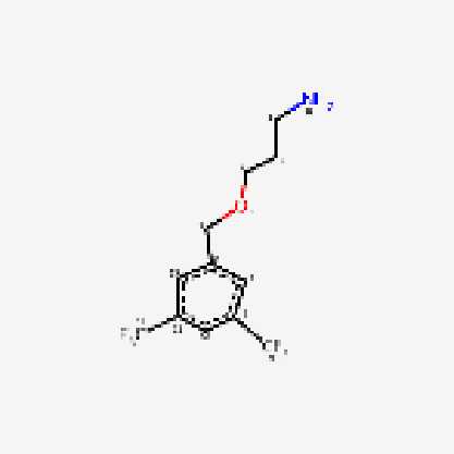 NCC[CH]OCc1cc(C(F)(F)F)cc(C(F)(F)F)c1